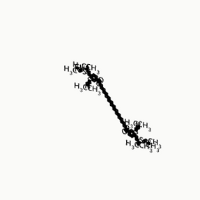 CC(C)C(CCC1CCC(C(=O)OCCCCCCCCCCCCCCCCCCCCOC(=O)C2CCC(CCC(SCCN(C)C)C(C)C)C(SCCN(C)C)C2)CC1SCCN(C)C)SCCN(C)C